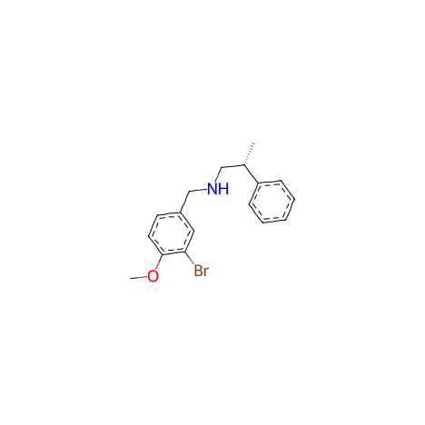 COc1ccc(CNC[C@H](C)c2ccccc2)cc1Br